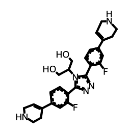 OCC(CO)n1c(-c2ccc(C3=CCNCC3)cc2F)nnc1-c1ccc(C2=CCNCC2)cc1F